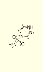 NS(=O)(=O)N1C=CNN=C1